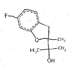 CC(C)(O)C1(C)Cc2ccc(F)cc2O1